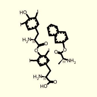 C[C@H](N)C(=O)Oc1ccc2ccccc2c1.N[C@@H](Cc1cc(I)c(OC(=O)[C@@H](N)Cc2cc(I)c(O)c(I)c2)c(I)c1)C(=O)O